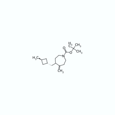 C=C1CCN(C(=O)OC(C)(C)C)CCC1C[C@H]1C[C@H](C)C1